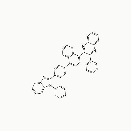 c1ccc(-c2nc3ccccc3nc2-c2ccc(-c3ccc(-c4nc5ccccc5n4-c4ccccc4)cc3)c3ccccc23)cc1